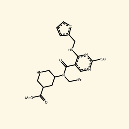 COC(=O)C1CNCC(N(CC(C)C)C(=O)c2cnc(C(C)(C)C)nc2NCc2ccco2)C1